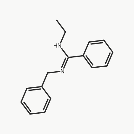 CCNC(=NCc1ccccc1)c1ccccc1